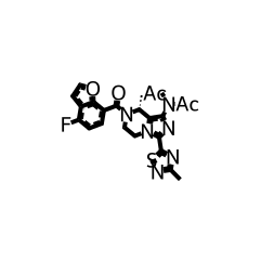 CC(=O)N(C(C)=O)c1nc(-c2nc(C)ns2)n2c1[C@@H](C)N(C(=O)c1ccc(F)c3ccoc13)CC2